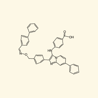 O=C(O)c1ccc(Nc2c(-c3ccc(CO/N=C\c4ccc(-c5ccccc5)cc4)cc3)nc3cc(-c4ccccc4)ccn23)cc1